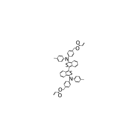 C=CC(=O)OCc1ccc(N(c2ccc(C)cc2)c2sc(-c3sc(N(c4ccc(C)cc4)c4ccc(COC(=O)C=C)cc4)c4ccccc34)c3ccccc23)cc1